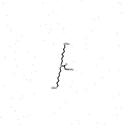 CCCCCCCCCCCCCCCCCCN(CCCCCCCCCCCCCCCCCC)C(=O)CNC(C)=O